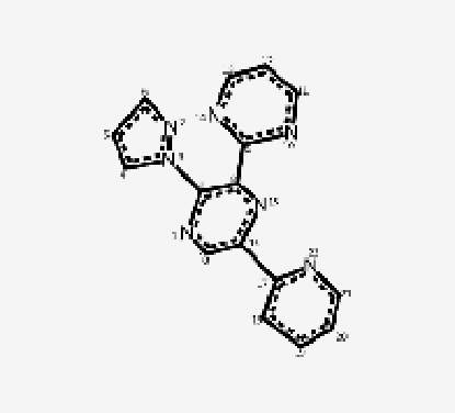 [c]1nc(-n2cccn2)c(-c2ncccn2)nc1-c1ccccn1